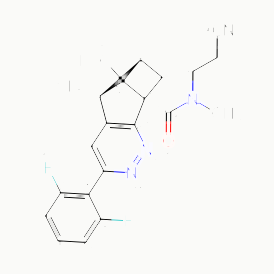 CN(CCC#N)C(=O)[C@]12CC3[C@H](c4cc(-c5c(F)cccc5F)nnc41)C32C